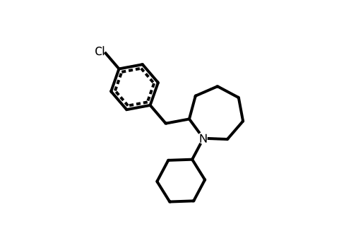 Clc1ccc(CC2CCCCCN2C2CCCCC2)cc1